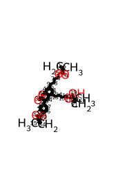 C=C(C)C(=O)OCCCCc1cc(CCCCOC(O)C(=C)C)c2cc(-c3ccc(OC(=O)C(=C)C)cc3)c(=O)oc2c1